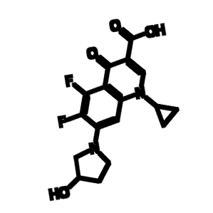 O=C(O)c1cn(C2CC2)c2cc(N3CCC(O)C3)c(F)c(F)c2c1=O